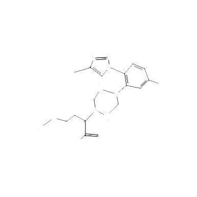 COCCC(C(=O)O)N1CON(c2cc(Cl)ccc2-n2cc(Cl)nn2)CO1